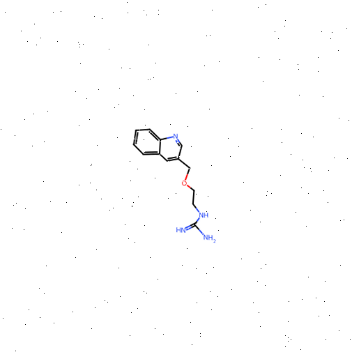 N=C(N)NCCOCc1cnc2ccccc2c1